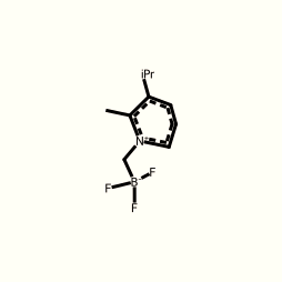 Cc1c(C(C)C)ccc[n+]1C[B-](F)(F)F